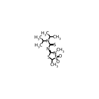 CC(C)N(C(=S)N=C1SC(C)S(=O)(=O)N1C)C(C)C